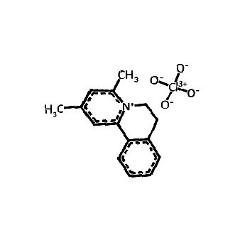 Cc1cc(C)[n+]2c(c1)-c1ccccc1CC2.[O-][Cl+3]([O-])([O-])[O-]